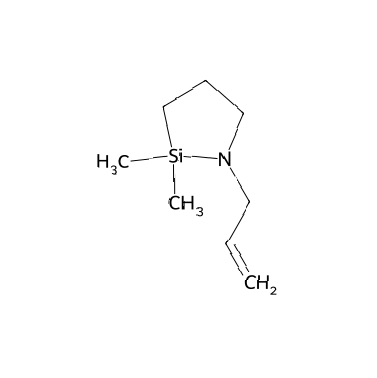 C=CCN1CCC[Si]1(C)C